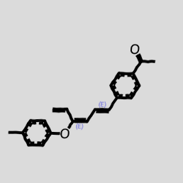 C=C/C(=C\C=C\c1ccc(C(C)=O)cc1)Oc1ccc(C)cc1